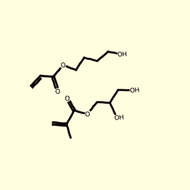 C=C(C)C(=O)OCC(O)CO.C=CC(=O)OCCCCO